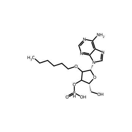 CCCCCCOC1C(O[PH](=O)O)[C@@H](CO)O[C@H]1n1cnc2c(N)ncnc21